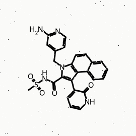 CS(=O)(=O)NC(=O)c1c(-c2ccc[nH]c2=O)c2c3ccccc3ccc2n1Cc1ccnc(N)c1